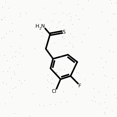 NC(=S)Cc1ccc(F)c(Cl)c1